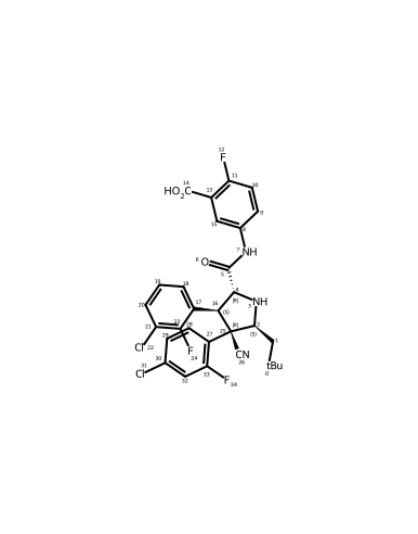 CC(C)(C)C[C@@H]1N[C@@H](C(=O)Nc2ccc(F)c(C(=O)O)c2)[C@H](c2cccc(Cl)c2F)[C@@]1(C#N)c1ccc(Cl)cc1F